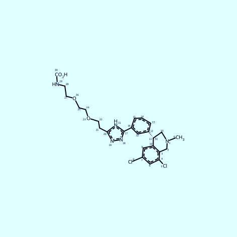 CN1Cc2c(Cl)cc(Cl)cc2[C@H](c2cccc(-c3nnc(CCOCCOCCNC(=O)O)[nH]3)c2)C1